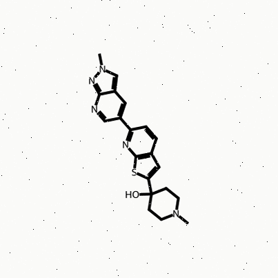 CN1CCC(O)(c2cc3ccc(-c4cnc5nn(C)cc5c4)nc3s2)CC1